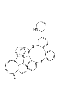 C=C1/C=C\C=C/N(c2ccccc2)c2c1cccc2-c1cccc2c1-c1ccccc1Sc1ccccc1-c1ccc(C3CC=CCN3)cc1S2